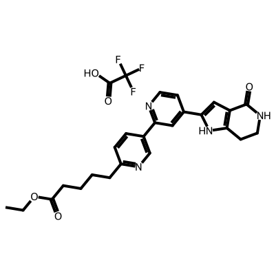 CCOC(=O)CCCCc1ccc(-c2cc(-c3cc4c([nH]3)CCNC4=O)ccn2)cn1.O=C(O)C(F)(F)F